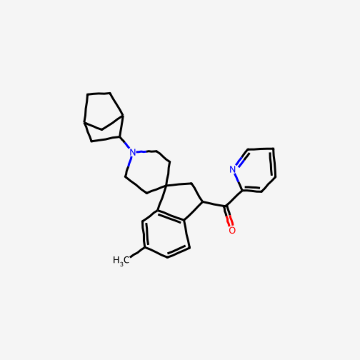 Cc1ccc2c(c1)C1(CCN(C3CC4CCC3C4)CC1)CC2C(=O)c1ccccn1